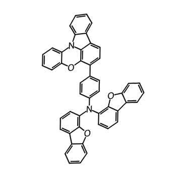 c1ccc2c(c1)Oc1c(-c3ccc(N(c4cccc5c4oc4ccccc45)c4cccc5c4oc4ccccc45)cc3)ccc3c4ccccc4n-2c13